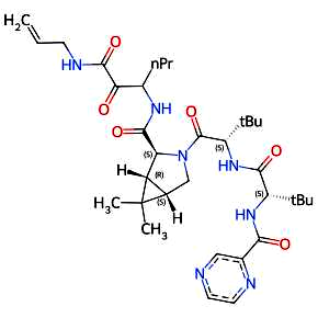 C=CCNC(=O)C(=O)C(CCC)NC(=O)[C@@H]1[C@@H]2[C@H](CN1C(=O)[C@@H](NC(=O)[C@@H](NC(=O)c1cnccn1)C(C)(C)C)C(C)(C)C)C2(C)C